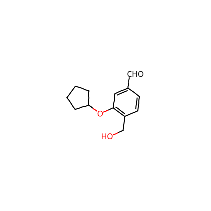 O=Cc1ccc(CO)c(OC2CCCC2)c1